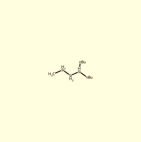 CCCC[SiH](CCCC)[SiH2][SiH2]C